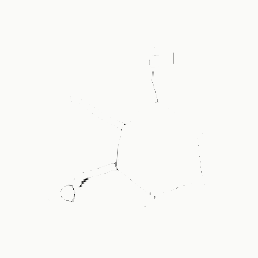 CC1CCSC(=O)C1=O